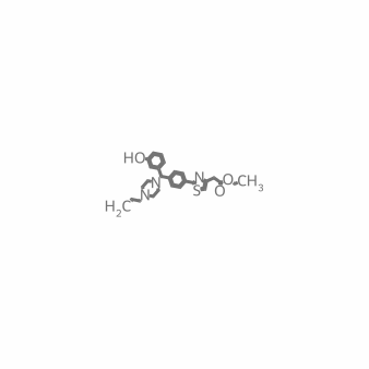 C=CCN1CCN(C(c2ccc(-c3nc(CC(=O)OCC)cs3)cc2)c2cccc(O)c2)CC1